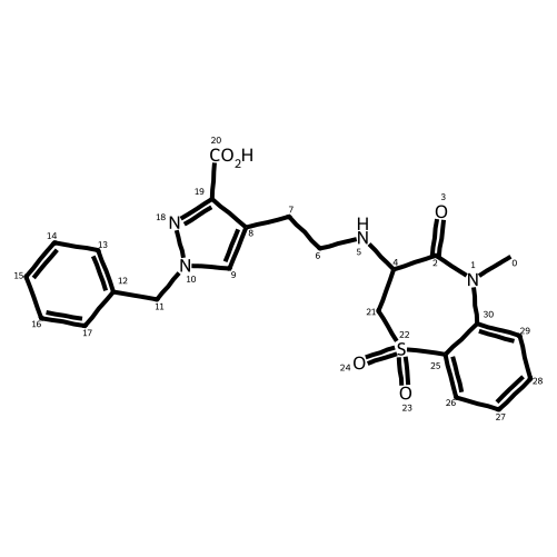 CN1C(=O)C(NCCc2cn(Cc3ccccc3)nc2C(=O)O)CS(=O)(=O)c2ccccc21